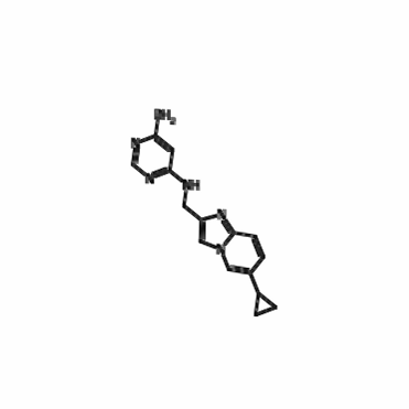 Bc1cc(NCc2cn3cc(C4CC4)ccc3n2)ncn1